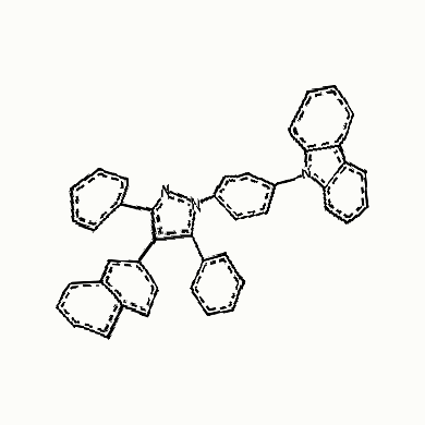 c1ccc(-c2nn(-c3ccc(-n4c5ccccc5c5ccccc54)cc3)c(-c3ccccc3)c2-c2ccc3ccccc3c2)cc1